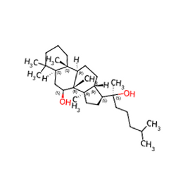 CC(C)CCC[C@](C)(O)[C@H]1CC[C@]2(C)[C@@H]1CC[C@@H]1[C@@]3(C)CCCC(C)(C)[C@@H]3C[C@H](O)[C@]12C